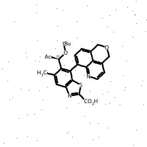 CC(=O)[C@@H](OC(C)(C)C)c1c(C)cc2nc(C(=O)O)sc2c1-c1ccc2c3c(ccnc13)COC2